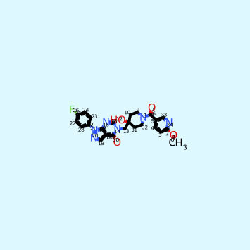 COc1ccc(C(=O)N2CCC(O)(Cn3cnc4c(cnn4-c4ccc(F)cc4)c3=O)CC2)cn1